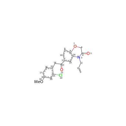 C=CCN1C(=O)COc2ccc(C(=O)Cc3ccc(OC)cc3Cl)cc21